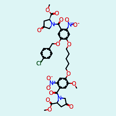 COC(=O)C1CC(=O)CN1C(=O)c1cc(OC)c(OCCCCCOc2cc([N+](=O)[O-])c(C(=O)N3CC(=O)C[C@H]3C(=O)OC)cc2OCc2ccc(Cl)cc2)cc1[N+](=O)[O-]